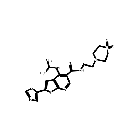 CC(C)Nc1c(C(=O)NCCN2CCS(=O)(=O)CC2)cnc2sc(-c3cncs3)cc12